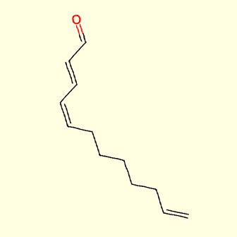 C=CCCCCC/C=C\C=C\C=O